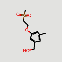 Cc1[c]c(CO)cc(OCCS(C)(=O)=O)c1